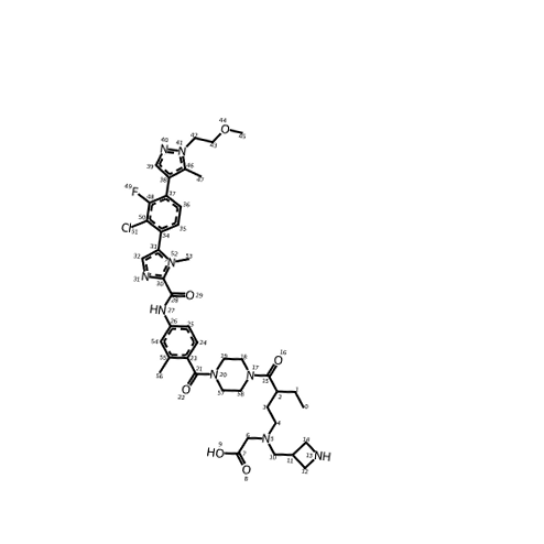 CCC(CCN(CC(=O)O)CC1CNC1)C(=O)N1CCN(C(=O)c2ccc(NC(=O)c3ncc(-c4ccc(-c5cnn(CCOC)c5C)c(F)c4Cl)n3C)cc2C)CC1